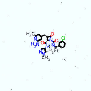 CC[C@@H](NC(=O)N1C(=O)[C@H](Cc2cc(C)nc(N)c2)[C@H]1C(=O)N(C)c1cnn(C)c1)c1cccc(Cl)c1